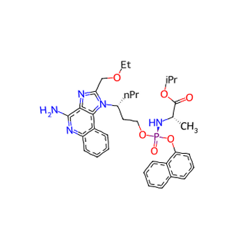 CCC[C@H](CCO[P@](=O)(N[C@@H](C)C(=O)OC(C)C)Oc1cccc2ccccc12)n1c(COCC)nc2c(N)nc3ccccc3c21